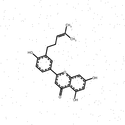 CC(C)=CCCc1cc(-c2cc(=O)c3c(O)cc(O)cc3o2)ccc1O